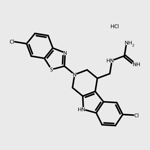 Cl.N=C(N)NCC1CN(c2nc3ccc(Cl)cc3s2)Cc2[nH]c3ccc(Cl)cc3c21